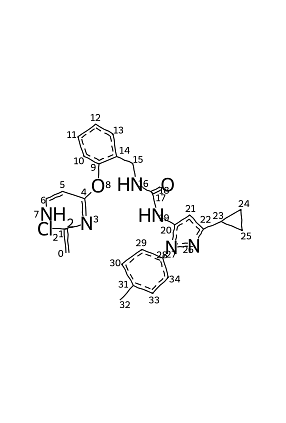 C=C(Cl)/N=C(\C=C/N)Oc1ccccc1CNC(=O)Nc1cc(C2CC2)nn1-c1ccc(C)cc1